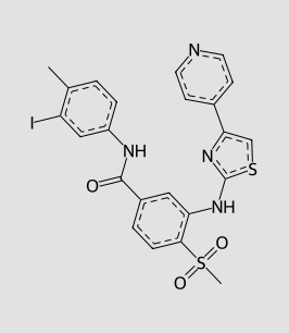 Cc1ccc(NC(=O)c2ccc(S(C)(=O)=O)c(Nc3nc(-c4ccncc4)cs3)c2)cc1I